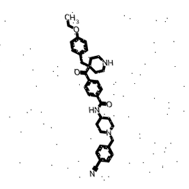 CCOc1ccc(CC2(C(=O)c3ccc(C(=O)NC4CCN(Cc5ccc(C#N)cc5)CC4)cc3)CCNCC2)cc1